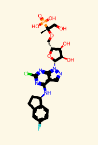 C[C@@](CO)(OC[C@H]1O[C@@H](n2ncc3c(N[C@@H]4CCc5cc(F)ccc54)nc(Cl)nc32)[C@H](O)[C@@H]1O)P(=O)(O)O